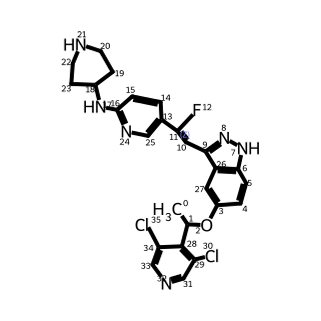 CC(Oc1ccc2[nH]nc(/C=C(\F)c3ccc(NC4CCNCC4)nc3)c2c1)c1c(Cl)cncc1Cl